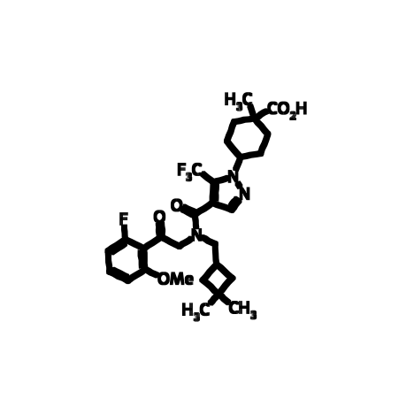 COc1cccc(F)c1C(=O)CN(CC1CC(C)(C)C1)C(=O)c1cnn(C2CCC(C)(C(=O)O)CC2)c1C(F)(F)F